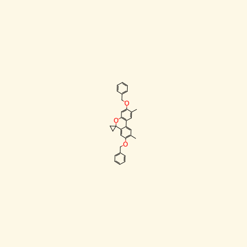 Cc1cc2c(cc1OCc1ccccc1)OC1(CC1)c1cc(OCc3ccccc3)c(C)cc1-2